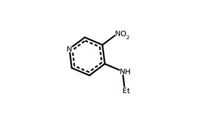 [CH2]CNc1ccncc1[N+](=O)[O-]